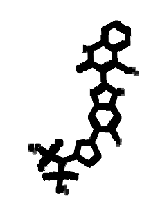 CS(=O)(=O)N(C1CCN(c2cc3nc(-c4c(N)c5ccccc5[nH]c4=O)[nH]c3cc2F)C1)S(C)(=O)=O